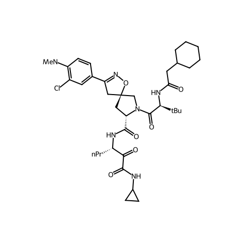 CCC[C@H](NC(=O)[C@@H]1C[C@]2(CC(c3ccc(NC)c(Cl)c3)=NO2)CN1C(=O)[C@@H](NC(=O)CC1CCCCC1)C(C)(C)C)C(=O)C(=O)NC1CC1